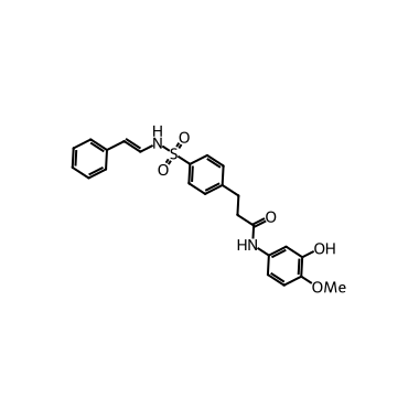 COc1ccc(NC(=O)CCc2ccc(S(=O)(=O)NC=Cc3ccccc3)cc2)cc1O